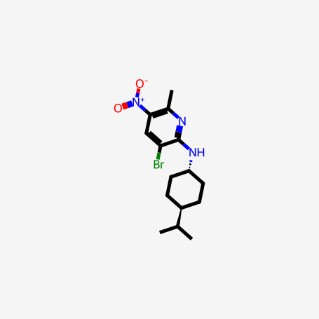 Cc1nc(N[C@H]2CC[C@H](C(C)C)CC2)c(Br)cc1[N+](=O)[O-]